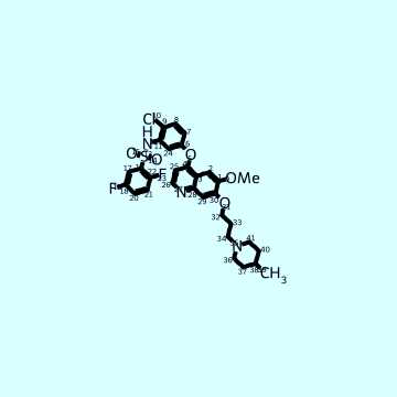 COc1cc2c(Oc3ccc(Cl)c(NS(=O)(=O)c4cc(F)ccc4F)c3)ccnc2cc1OCCCN1CCC(C)CC1